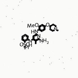 COc1cc(OC2CCN(C)CC2)ccc1Nc1cc(Nc2ccccc2S(=O)(=O)C(C)C)c(C)c(N)n1